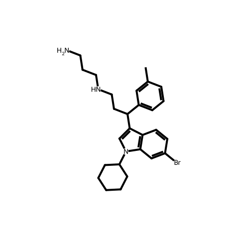 Cc1cccc(C(CCNCCCN)c2cn(C3CCCCC3)c3cc(Br)ccc23)c1